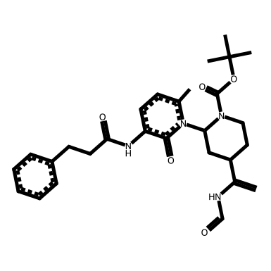 C=C(NC=O)C1CCN(C(=O)OC(C)(C)C)C(n2c(C)ccc(NC(=O)CCc3ccccc3)c2=O)C1